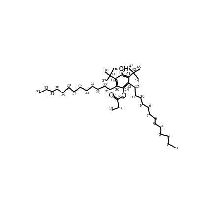 CCCCCCCCCCCCCc1c(OC(=O)CC)c(CCCCCCCCCCCCC)c(C(C)(C)C)c(O)c1C(C)(C)C